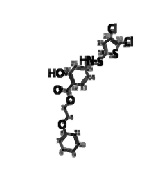 O=C(OCCOc1ccccc1)c1ccc(NSc2cc(Cl)c(Cl)s2)cc1O